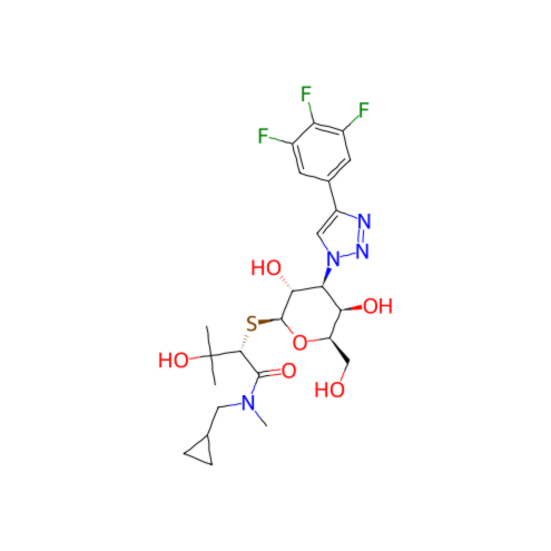 CN(CC1CC1)C(=O)[C@@H](S[C@@H]1O[C@H](CO)[C@H](O)[C@H](n2cc(-c3cc(F)c(F)c(F)c3)nn2)[C@H]1O)C(C)(C)O